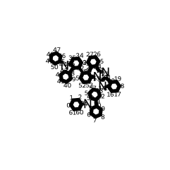 c1ccc(-n2c3ccccc3c3cc(-n4c5ccccc5c5nc6c7ccccc7c7c(-c8cccc9c8c8ccccc8n9-c8ccccc8)cccc7n6c54)ccc32)cc1